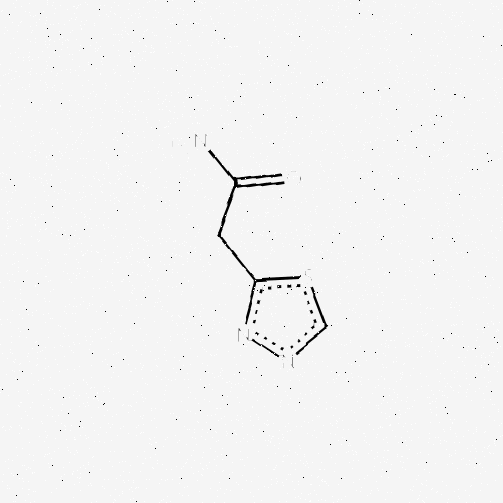 NC(=O)Cc1nncs1